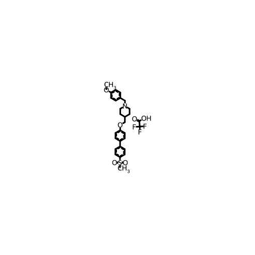 COc1ccc(CN2CCC(COc3ccc(-c4ccc(S(C)(=O)=O)cc4)cc3)CC2)cc1.O=C(O)C(F)(F)F